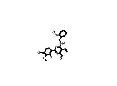 C=Cc1c(C=O)nc(-c2ccc(Cl)c(OC)c2F)nc1NCc1ccccc1N=O